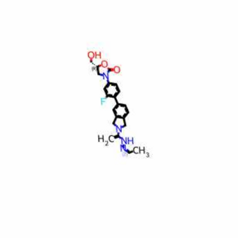 C=C(N/N=C\C)N1Cc2ccc(-c3ccc(N4C[C@H](CO)OC4=O)cc3F)cc2C1